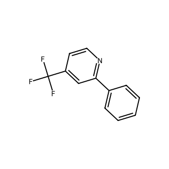 FC(F)(F)c1ccnc(-c2ccccc2)c1